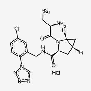 CC(C)(C)C[C@@H](N)C(=O)N1[C@@H]2C[C@@H]2C[C@H]1C(=O)NCc1cc(Cl)ccc1-n1cnnn1.Cl